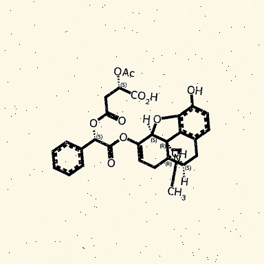 CC(=O)O[C@@H](CC(=O)O[C@H](C(=O)OC1=CC[C@]2(O)[C@@H]3Cc4ccc(O)c5c4[C@]2(CCN3C)[C@@H]1O5)c1ccccc1)C(=O)O